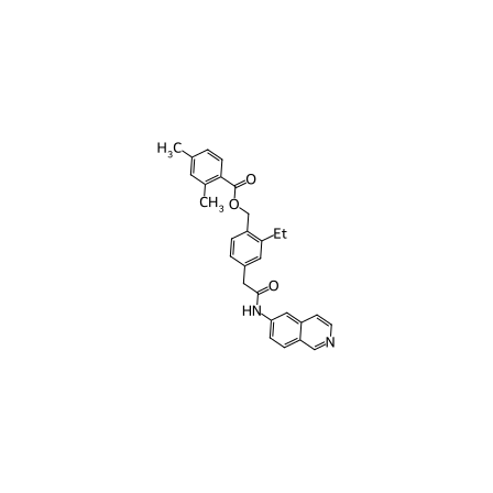 CCc1cc(CC(=O)Nc2ccc3cnccc3c2)ccc1COC(=O)c1ccc(C)cc1C